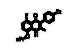 CCCOc1ccc(F)c2c(=O)c(-c3ccc(CC)cc3)c(C)[nH]c12